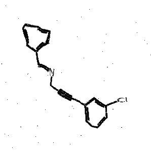 Clc1cccc(C#CCN=Cc2ccccc2)c1